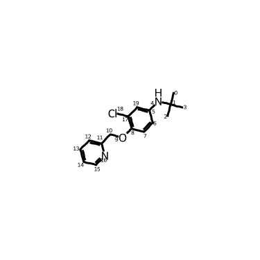 CC(C)(C)Nc1ccc(OCc2ccccn2)c(Cl)c1